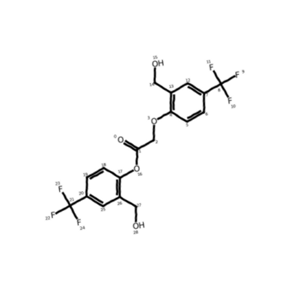 O=C(COc1ccc(C(F)(F)F)cc1CO)Oc1ccc(C(F)(F)F)cc1CO